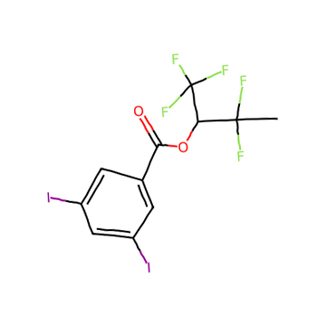 CC(F)(F)C(OC(=O)c1cc(I)cc(I)c1)C(F)(F)F